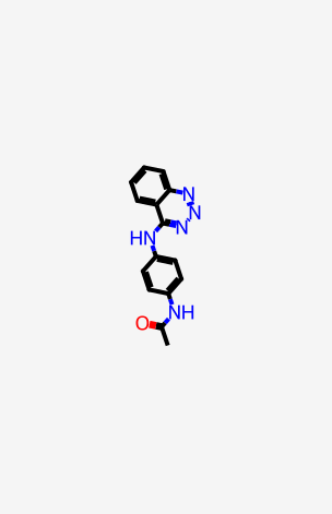 CC(=O)Nc1ccc(Nc2nnnc3ccccc23)cc1